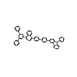 c1ccc(-c2cc(-c3ccc(-c4ccc(-c5ccc(-c6ccc7c(c6)c6ccccc6n7-c6ccccc6)cc5)cc4)c4ccccc34)nc(-c3ccccc3)n2)cc1